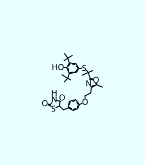 Cc1oc(C(C)(C)Sc2cc(C(C)(C)C)c(O)c(C(C)(C)C)c2)nc1CCOc1ccc(CC2SC(=O)NC2=O)cc1